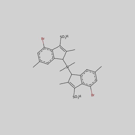 CC1=C(S(=O)(=O)O)c2c(Br)cc(C)cc2C1[Si](C)(C)C1C(C)=C(S(=O)(=O)O)c2c(Br)cc(C)cc21